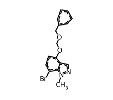 Cn1ncc2c(OCOCc3ccccc3)ccc(Br)c21